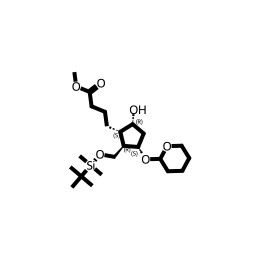 COC(=O)CCC[C@H]1[C@H](CO[Si](C)(C)C(C)(C)C)[C@@H](OC2CCCCO2)C[C@H]1O